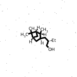 CC[C@H](CO)C[C@H]1C[C@H]2C[C@@H]([C@@H]1C)C2(C)C